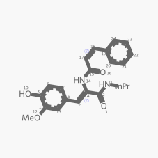 CCCNC(=O)/C(=C/c1ccc(O)c(OC)c1)NC(=O)/C=C\c1ccccc1